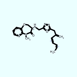 C=C(/C=C\C=C/C)Cc1nnc(CN[C@H]2COc3cccnc3N(C)C2=O)o1